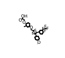 COc1ccc(-c2nc(COc3ccc(OCC(=O)O)c(C)c3)sc2-c2cccc(SC(F)(F)F)c2)cc1